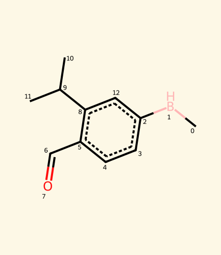 CBc1ccc(C=O)c(C(C)C)c1